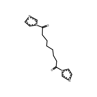 O=C(CCCCCCC(=O)n1ccnc1)n1ccnc1